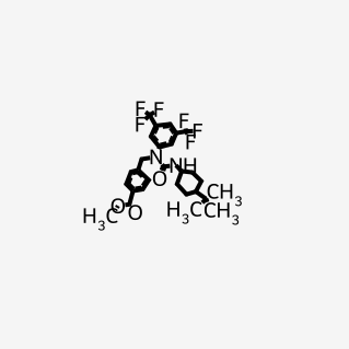 COC(=O)c1ccc(CN(C(=O)NC2CCC(C(C)(C)C)CC2)c2cc(C(F)(F)F)cc(C(F)(F)F)c2)cc1